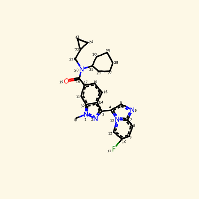 Cn1nc(-c2cnc3ccc(F)cn23)c2ccc(C(=O)N(CC3CC3)C3CCCCC3)cc21